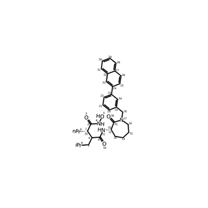 CCC[C@H](C(=O)NO)C(CC(C)C)C(=O)N[C@H]1CCCCN(Cc2cccc(-c3ccc4ccccc4c3)c2)C1=O